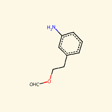 Nc1cccc(CCOC=O)c1